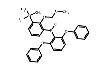 COCOc1c(P(Cl)c2c(Oc3ccccc3)cccc2Oc2ccccc2)cccc1[Si](C)(C)C